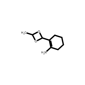 CC1OC(C2=C(N)CCCC2)O1